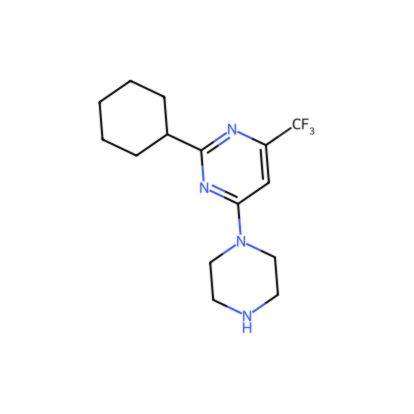 FC(F)(F)c1cc(N2CCNCC2)nc(C2CCCCC2)n1